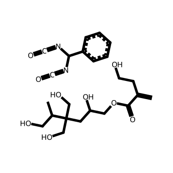 C=C(CCO)C(=O)OCC(O)CC(CO)(CO)C(C)CO.O=C=NC(N=C=O)c1ccccc1